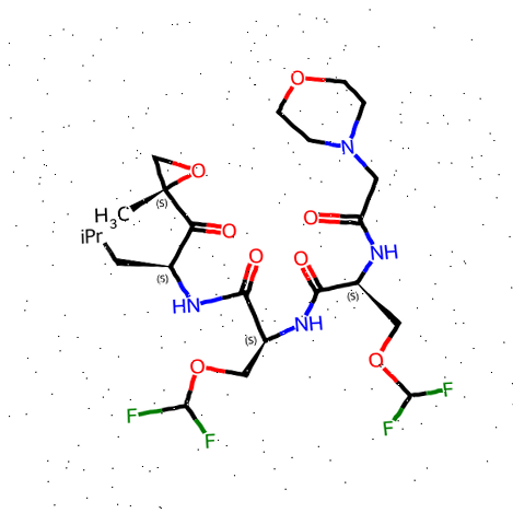 CC(C)C[C@H](NC(=O)[C@H](COC(F)F)NC(=O)[C@H](COC(F)F)NC(=O)CN1CCOCC1)C(=O)[C@]1(C)CO1